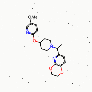 COc1ccc(OC2CCN(C(C)c3ccc4c(n3)OCCO4)CC2)nc1